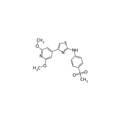 COc1cc(-c2csc(Nc3ccc(S(C)(=O)=O)cc3)n2)cc(OC)n1